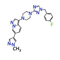 Cn1cc(-c2ccc3c(N4CCN(c5ncn(Cc6ccc(F)cc6)n5)CC4)cnn3c2)cn1